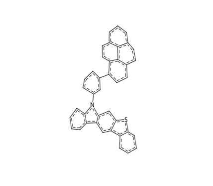 c1cc(-c2ccc3ccc4cccc5ccc2c3c45)cc(-n2c3ccccc3c3cc4c(cc32)sc2ccccc24)c1